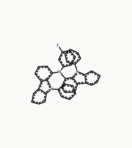 Fc1cccc(N(c2cccc3c4ccccc4n(-c4ccccc4)c23)c2cccc3c4ccccc4n(-c4ccccc4)c23)c1